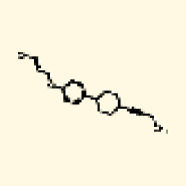 CCC#CC1CCC(c2ccc(OC/C=C/Cl)cc2)CC1